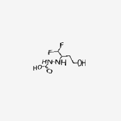 O=C(O)NNC(CCO)C(F)F